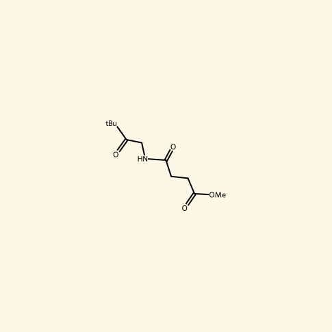 COC(=O)CCC(=O)NCC(=O)C(C)(C)C